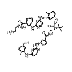 Cc1ccc(O)cc1Nc1ccnc(Nc2cccc(C(=O)NCCN(C(=O)Oc3ccc(C)c(Nc4ccnc(Nc5cccc(C(=O)NCCN)c5)n4)c3)C(C)(C)C)c2)n1